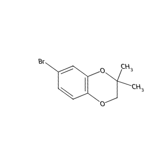 CC1(C)COc2ccc(Br)cc2O1